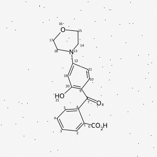 O=C(O)c1ccccc1C(=O)c1ccc(N2CCOCC2)cc1O